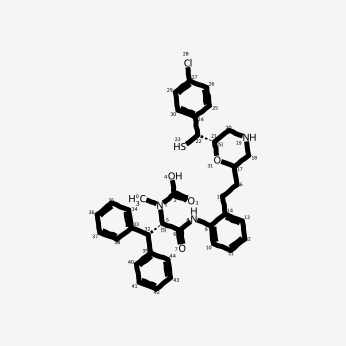 CN(C(=O)O)[C@H](C(=O)Nc1ccccc1CCC1CNC[C@@H](C(S)c2ccc(Cl)cc2)O1)C(c1ccccc1)c1ccccc1